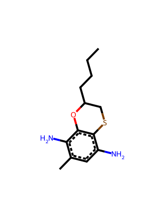 CCCCC1CSc2c(N)cc(C)c(N)c2O1